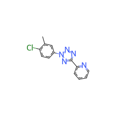 Cc1cc(-n2nnc(-c3ccccn3)n2)ccc1Cl